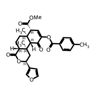 COC(=O)[C@@H]1C=C(OC(=O)c2ccc(C)cc2)C(=O)[C@H]2[C@@]1(C)CC[C@H]1C(=O)O[C@H](c3ccoc3)C[C@]21C